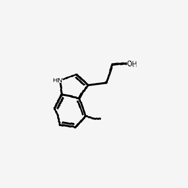 Cc1cccc2[nH]cc(CCO)c12